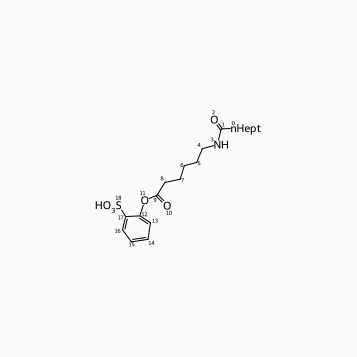 CCCCCCCC(=O)NCCCCCC(=O)Oc1ccccc1S(=O)(=O)O